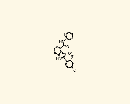 C[S+]([O-])c1cc(Cl)ccc1-c1nc2c(C(=O)Nc3ccccn3)cccc2[nH]1